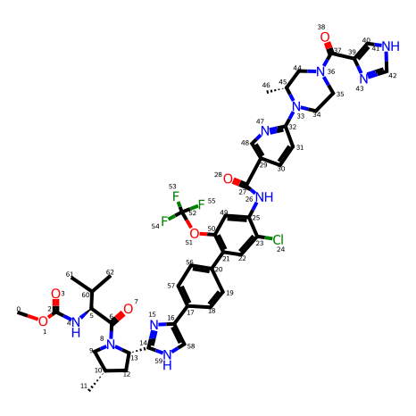 COC(=O)N[C@H](C(=O)N1C[C@@H](C)C[C@H]1c1nc(-c2ccc(-c3cc(Cl)c(NC(=O)c4ccc(N5CCN(C(=O)c6c[nH]cn6)C[C@H]5C)nc4)cc3OC(F)(F)F)cc2)c[nH]1)C(C)C